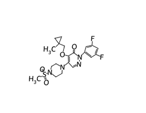 CC1(COc2c(N3CCN(S(C)(=O)=O)CC3)cnn(-c3cc(F)cc(F)c3)c2=O)CC1